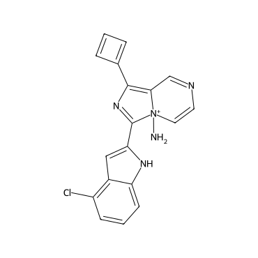 N[N+]12C=CN=CC1=C(C1=CC=C1)N=C2c1cc2c(Cl)cccc2[nH]1